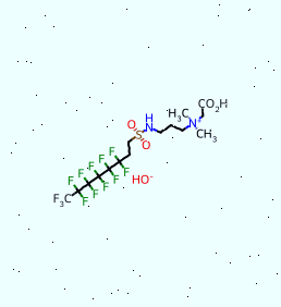 C[N+](C)(CCCNS(=O)(=O)CCC(F)(F)C(F)(F)C(F)(F)C(F)(F)C(F)(F)C(F)(F)F)CC(=O)O.[OH-]